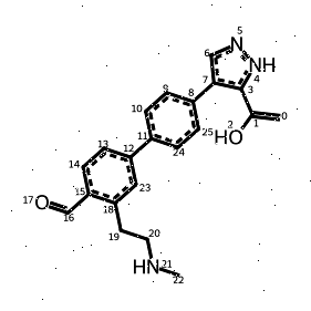 C=C(O)c1[nH]ncc1-c1ccc(-c2ccc(C=O)c(CCNC)c2)cc1